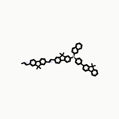 C/C=C/c1ccc2c(c1)C(C)(C)c1cc(/C=C/c3ccc4c(c3)C(C)(C)c3cc(N(c5ccc(-c6ccc7c(c6)C(C)(C)c6ccccc6-7)cc5)c5ccc6ccccc6c5)ccc3-4)ccc1-2